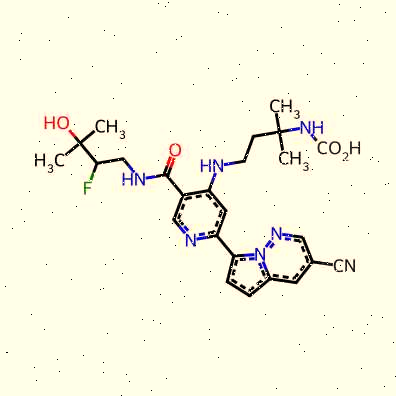 CC(C)(CCNc1cc(-c2ccc3cc(C#N)cnn23)ncc1C(=O)NCC(F)C(C)(C)O)NC(=O)O